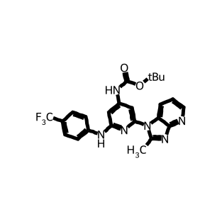 Cc1nc2ncccc2n1-c1cc(NC(=O)OC(C)(C)C)cc(Nc2ccc(C(F)(F)F)cc2)n1